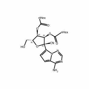 CCCCCCC(=O)O[C@H]1[C@@H](OC(=O)CCCCCC)[C@](C#N)(c2ccc3c(N)ncnn23)O[C@@H]1CO